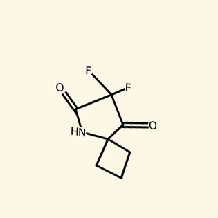 O=C1NC2(CCC2)C(=O)C1(F)F